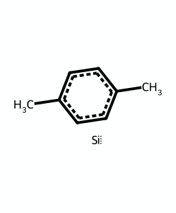 Cc1ccc(C)cc1.[Si]